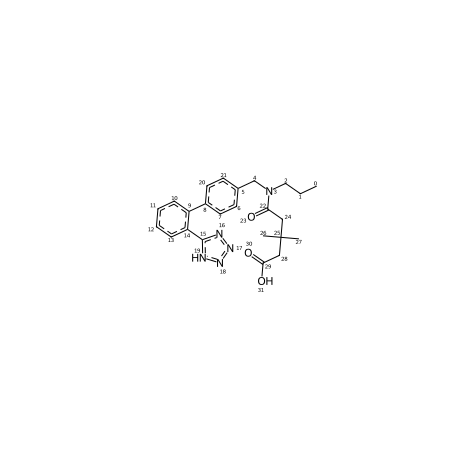 CCCN(Cc1ccc(-c2ccccc2-c2nnn[nH]2)cc1)C(=O)CC(C)(C)CC(=O)O